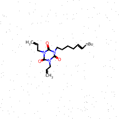 C=CCn1c(=O)n(CC=C)c(=O)n(CCCCC=CCCCC)c1=O